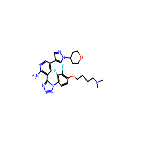 CN(C)CCCCOc1ccc(-n2nnnc2-c2cc(-c3cnn(C4CCOCC4)c3)cnc2N)c(F)c1F